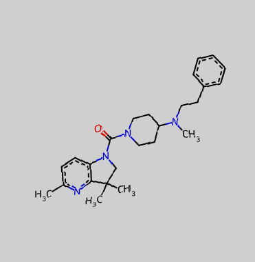 Cc1ccc2c(n1)C(C)(C)CN2C(=O)N1CCC(N(C)CCc2ccccc2)CC1